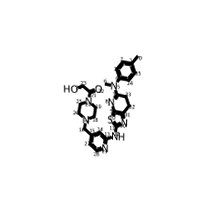 Cc1ccc(N(C)C2=Nc3sc(Nc4cc(CN5CCN(C(=O)CO)CC5)ccn4)nc3CC2)cc1